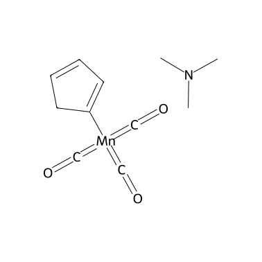 CN(C)C.O=[C]=[Mn](=[C]=O)(=[C]=O)[C]1=CC=CC1